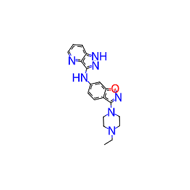 CCN1CCN(c2noc3cc(Nc4n[nH]c5cccnc45)ccc23)CC1